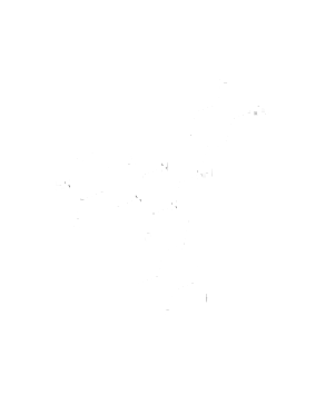 CCCCc1cc(Nc2nc(=O)n(Cc3ccc[nH]c3=O)c(=O)n2Cc2cc(C)c(F)c(F)c2)ccc1S